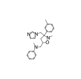 Cc1cccc(C2(Cn3ccnc3)CC(CN(C)c3ccccc3)ON2C)c1